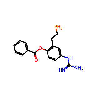 N=C(N)Nc1ccc(OC(=O)c2ccccc2)c(CCP)c1